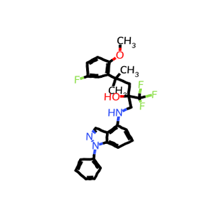 COc1ccc(F)cc1C(C)(C)CC(O)(CNc1cccc2c1cnn2-c1ccccc1)C(F)(F)F